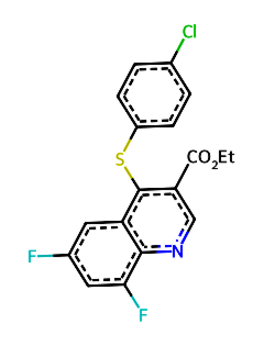 CCOC(=O)c1cnc2c(F)cc(F)cc2c1Sc1ccc(Cl)cc1